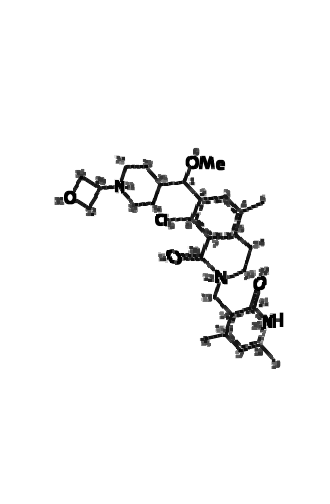 COC(c1cc(C)c2c(c1Cl)C(=O)N(Cc1c(C)cc(C)[nH]c1=O)CC2)C1CCN(C2COC2)CC1